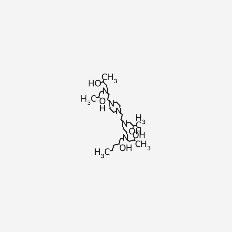 CCCC(O)CN(CCN(CCN1CCN(CCN(CC(C)O)CC(C)O)CC1)CC(C)O)CC(C)O